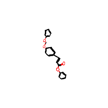 O=C(/C=C/c1ccc(OCOc2ccccc2)cc1)Oc1ccccc1